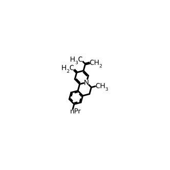 C=C(C)C1=CN2C(=CC1=C)c1ccc(CCC)cc1CC2C